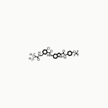 CC(C)C(=O)NCc1ccc(Cl)c(C(=O)Nc2ccc3[nH]c(C(=O)Nc4ccc(OC(F)(F)F)cc4)cc3c2)c1